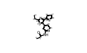 CCC(=O)Nc1cc(-c2sc(CC)nc2-c2cccs2)ccn1